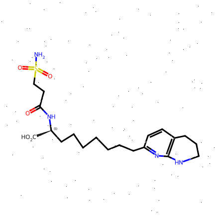 NS(=O)(=O)CCC(=O)N[C@@H](CCCCCCCc1ccc2c(n1)NCCC2)C(=O)O